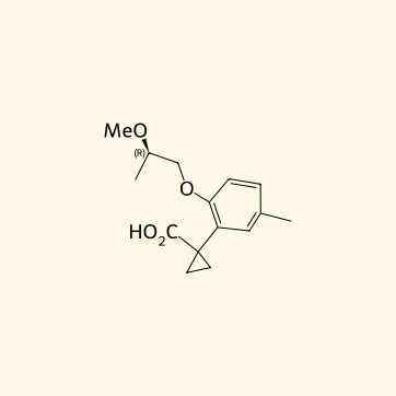 CO[C@H](C)COc1ccc(C)cc1C1(C(=O)O)CC1